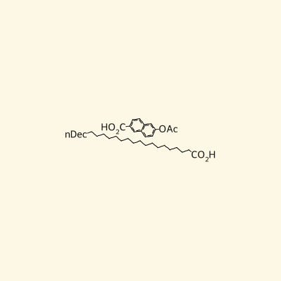 CC(=O)Oc1ccc2cc(C(=O)O)ccc2c1.CCCCCCCCCCCCCCCCCCCCCCCCCCCC(=O)O